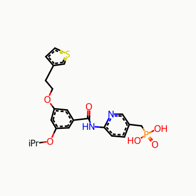 CC(C)Oc1cc(OCCc2ccsc2)cc(C(=O)Nc2ccc(CP(=O)(O)O)cn2)c1